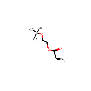 [CH2]C[Si](C)(C)OCCOC(=O)C=C